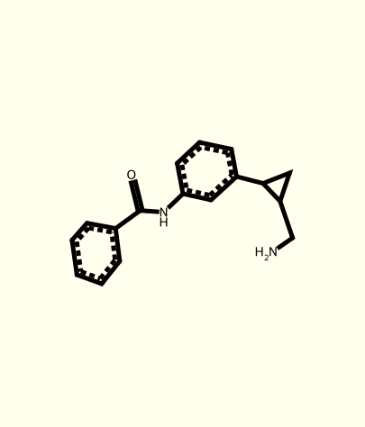 NCC1CC1c1cccc(NC(=O)c2ccccc2)c1